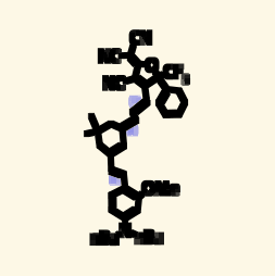 CCCCN(CCCC)c1ccc(/C=C/C2=CC(=C/C=C/C3=C(C#N)C(=C(C#N)C#N)OC3(C3=CC=CCC3)C(F)(F)F)/CC(C)(C)C2)c(OC)c1